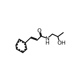 CC(O)CNC(=O)C=Cc1ccccc1